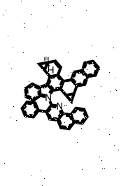 C1=C[C@H]2CC2c2c1c1c(c3c2c2ccccc2n3-c2nc3c(ccc4ccccc43)cc2-c2ccccc2)C2CC2c2cc3ccccc3cc2-1